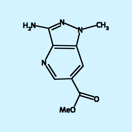 COC(=O)c1cnc2c(N)nn(C)c2c1